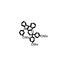 COc1ccc(C2(c3ccc(OC)cc3)C=Cc3c(c4ccccc4c4c5ccccc5n(-c5cccc(OC)c5)c34)O2)cc1